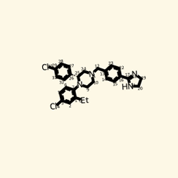 CCc1cc(Cl)ccc1N1CCN(Cc2ccc(C3=NCCN3)cc2)C[C@H]1c1ccc(Cl)cc1